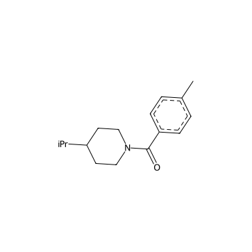 Cc1ccc(C(=O)N2CCC(C(C)C)CC2)cc1